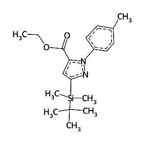 CCOC(=O)c1cc([Si](C)(C)C(C)(C)C)nn1-c1ccc(C)cc1